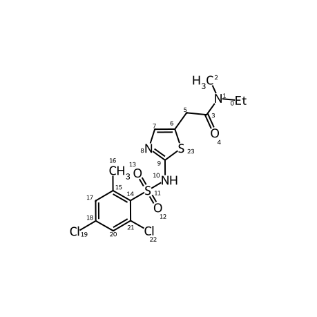 CCN(C)C(=O)Cc1cnc(NS(=O)(=O)c2c(C)cc(Cl)cc2Cl)s1